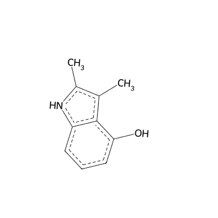 Cc1[nH]c2cccc(O)c2c1C